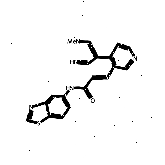 CN/C=C(\C=N)c1ccncc1/C=C/C(=O)Nc1ccc2scnc2c1